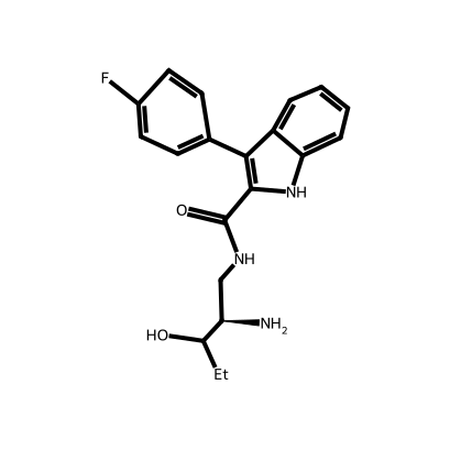 CCC(O)[C@H](N)CNC(=O)c1[nH]c2ccccc2c1-c1ccc(F)cc1